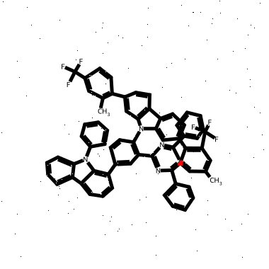 Cc1ccc(-c2ccc3c4ccc(-c5ccc(C(F)(F)F)cc5C)cc4n(-c4ccc(-c5cccc6c7ccccc7n(-c7ccccc7)c56)cc4-c4nc(-c5ccccc5)nc(-c5ccccc5)n4)c3c2)c(C(F)(F)F)c1